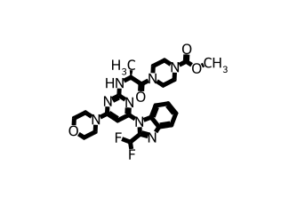 COC(=O)N1CCN(C(=O)[C@H](C)Nc2nc(N3CCOCC3)cc(-n3c(C(F)F)nc4ccccc43)n2)CC1